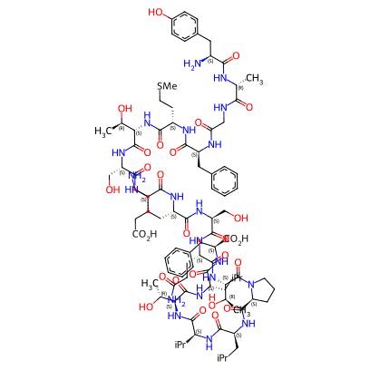 CSCC[C@H](NC(=O)[C@H](Cc1ccccc1)NC(=O)CNC(=O)[C@@H](C)NC(=O)[C@@H](N)Cc1ccc(O)cc1)C(=O)N[C@H](C(=O)N[C@@H](CO)C(=O)N[C@@H](CCC(=O)O)C(=O)N[C@@H](CCCCN)C(=O)N[C@@H](CO)C(=O)N[C@@H](CCC(N)=O)C(=O)N[C@H](C(=O)N1CCC[C@H]1C(=O)N[C@@H](CC(C)C)C(=O)N[C@H](C(=O)N[C@H](C(=O)N[C@@H](CC(C)C)C(=O)N[C@@H](Cc1ccccc1)C(=O)O)[C@@H](C)O)C(C)C)[C@@H](C)O)[C@@H](C)O